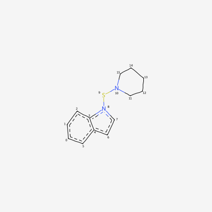 c1ccc2c(c1)ccn2SN1CCCCC1